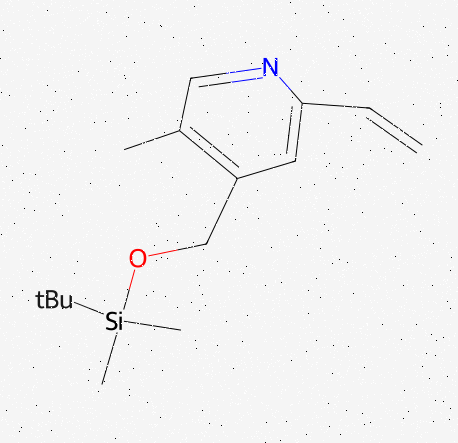 C=Cc1cc(CO[Si](C)(C)C(C)(C)C)c(C)cn1